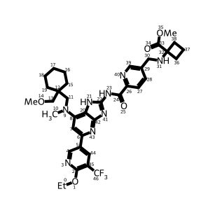 CCOc1ncc(-c2cc(N(C)CC3(COC)CCCCC3)c3[nH]c(NC(=O)c4ccc(CNC5(C(=O)OC)CCC5)cn4)nc3n2)cc1C(F)(F)F